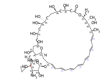 C[C@@H]1[C@H](O)[C@@H](C)/C=C/C=C/C=C/C=C/C=C/C=C/C=C/[C@H](O[C@@H]2O[C@H](C)[C@@H](O)[C@H](N)[C@@H]2O)C[C@@H]2O[C@](O)(C[C@@H](O)C[C@@H](O)[C@H](O)CC[C@@H](O)C[C@@H](O)CC(=O)O[C@H]1C)C[C@H](O)[C@H]2C(=O)NCC1CC1